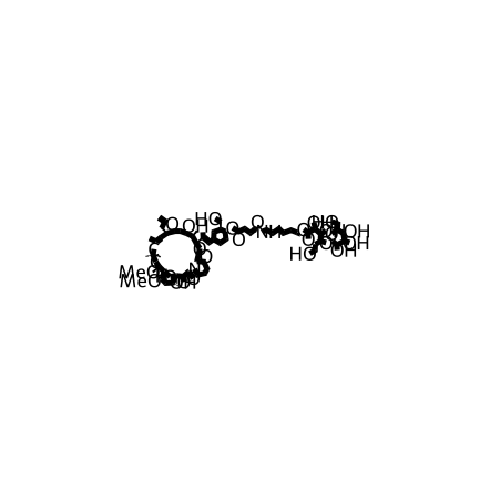 C=CC[C@@H]1/C=C(\C)C[C@@H](C)C[C@H](OC)[C@H]2O[C@@](O)(C(=O)C(=O)N3CCCCC3C(=O)O[C@H](/C(C)=C/C3CCC(OC(=O)CCC(=O)NCCCCCCOC4OC(CO)C(OC5OC(CO)C(O)C(O)C5O)C(O)C4O)[C@H](CO)C3)[C@H](C)[C@H](O)CC1=O)[C@H](C)CC2OC